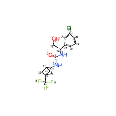 O=C(NC1CC2(C(F)(F)F)CC1C2)N[C@@H](CO)c1cccc(Cl)c1